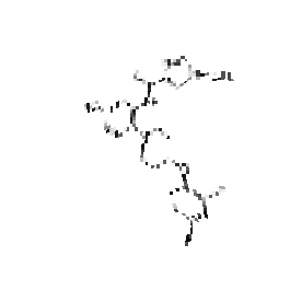 Cn1cc(C(=O)Nc2cc(C#N)ccc2N2CCC(Oc3ccc(F)cc3F)CC2)nn1